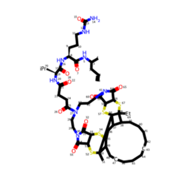 C=CCC(C)NC(=O)[C@H](CCCNC(N)=O)NC(=O)[C@@H](NC(=O)CCC(=O)N1CCN2C(=O)C3SC4CC5C6CCCCCCCCCCC4C(C)(SC3C2=O)C52SC3C(=O)N(CC1)C(=O)C3SC62CC)C(C)C